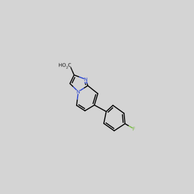 O=C(O)c1cn2ccc(-c3ccc(F)cc3)cc2n1